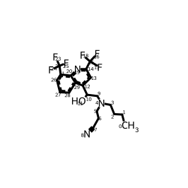 CCCCN(CCC#N)CC(O)c1cc(C(F)(F)F)nc2c(C(F)(F)F)cccc12